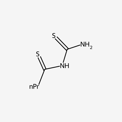 CCCC(=S)NC(N)=S